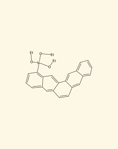 CCO[Si](OCC)(OCC)c1cccc2cc3ccc4cc5ccccc5cc4c3cc12